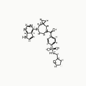 O=C(c1ccc(S(=O)(=O)NCC2CCCO2)cc1)N1CCN(c2ncnc3[nH]ccc23)CC2(CC2)C1